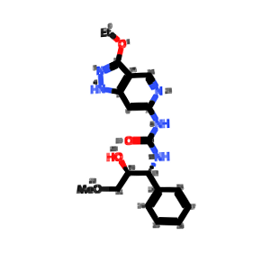 CCOc1n[nH]c2cc(NC(=O)N[C@H](c3ccccc3)[C@H](O)COC)ncc12